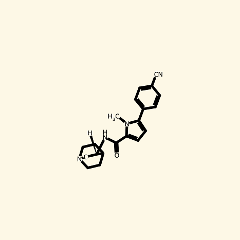 Cn1c(C(=O)N[C@H]2CN3CCC2CC3)ccc1-c1ccc(C#N)cc1